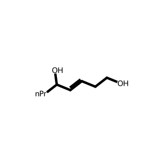 CCCC(O)C=CCCO